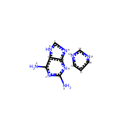 Nc1nc(N)c2[nH]cnc2n1.c1cncnc1